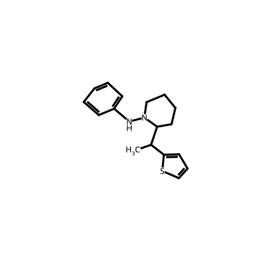 CC(c1cccs1)C1CCCCN1Nc1ccccc1